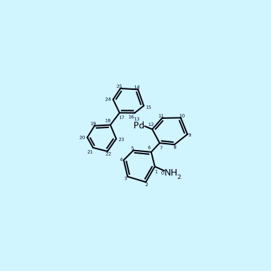 Nc1ccccc1-c1cccc[c]1[Pd].c1ccc(-c2ccccc2)cc1